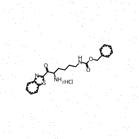 Cl.NC(CCCCNC(=O)OCc1ccccc1)C(=O)c1nc2ccccc2s1